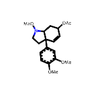 COc1ccc(C23C=CC(OC(C)=O)CC2N(OC)CC3)cc1OC